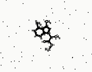 COC(=O)C(C)n1cc(C)c2c(N)ncnc21